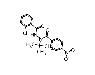 CC(C)(C)N(NC(=O)c1ccccc1Cl)C(=O)c1ccc([N+](=O)[O-])cc1